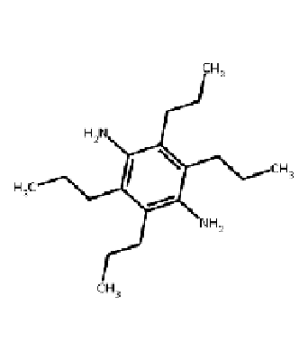 CCCc1c(N)c(CCC)c(CCC)c(N)c1CCC